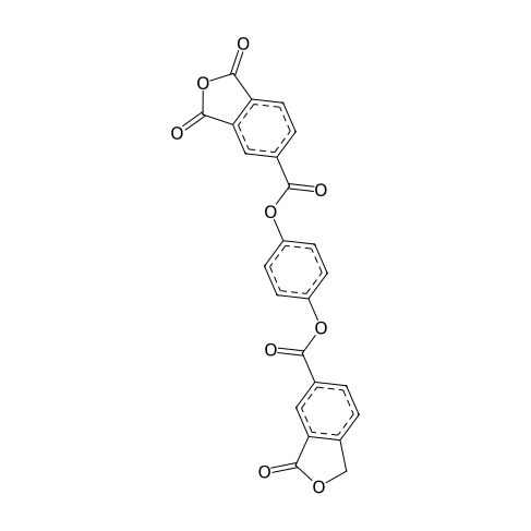 O=C(Oc1ccc(OC(=O)c2ccc3c(c2)C(=O)OC3=O)cc1)c1ccc2c(c1)C(=O)OC2